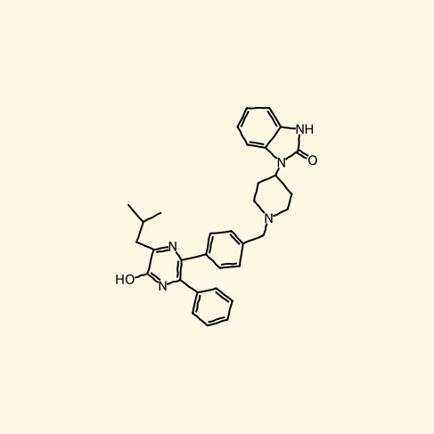 CC(C)Cc1nc(-c2ccc(CN3CCC(n4c(=O)[nH]c5ccccc54)CC3)cc2)c(-c2ccccc2)nc1O